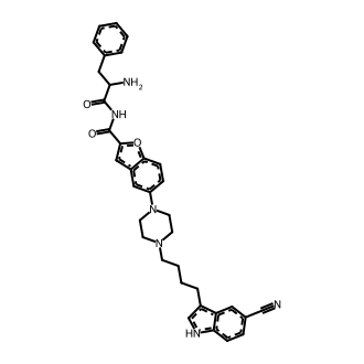 N#Cc1ccc2[nH]cc(CCCCN3CCN(c4ccc5oc(C(=O)NC(=O)C(N)Cc6ccccc6)cc5c4)CC3)c2c1